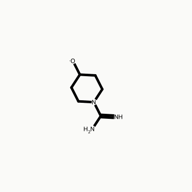 N=C(N)N1CCC([O])CC1